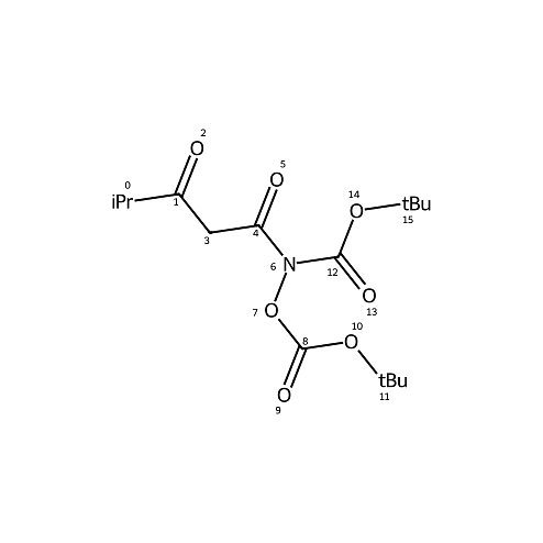 CC(C)C(=O)CC(=O)N(OC(=O)OC(C)(C)C)C(=O)OC(C)(C)C